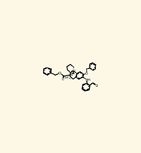 O=Cc1ccccc1Nc1cc2c(cc1OCc1ccccc1)[C@]13CCCCC1[C@H](C2)N(C(=O)OCc1ccccc1)CC3